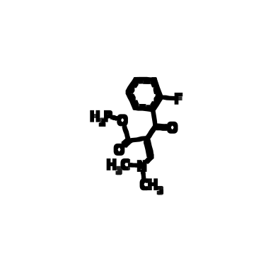 CN(C)/C=C(\C(=O)OP)C(=O)c1ccccc1F